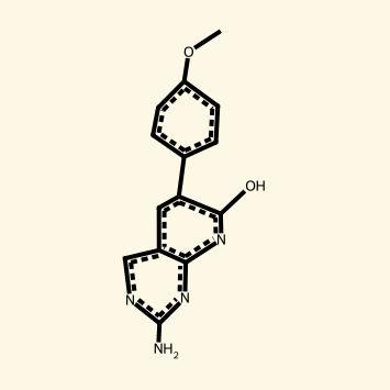 COc1ccc(-c2cc3cnc(N)nc3nc2O)cc1